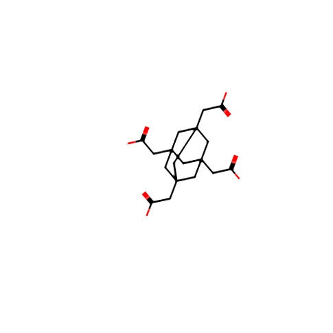 O=C(O)CC12CC3(CC(=O)O)CC(CC(=O)O)(C1)CC(CC(=O)O)(C2)C3